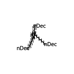 CCCCCCCCCCCCCCCCCCC1N(CCCCCCCCCCCCCC)C=CN1CCCCCCCCCCCCCCCCC